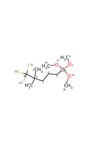 CO[Si](CCCC(C)(C)C(F)(F)F)(OC)OC